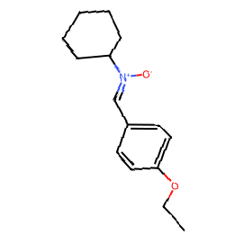 CCOc1ccc(C=[N+]([O-])C2CCCCC2)cc1